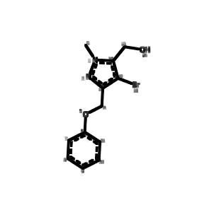 Cn1nc(COc2ccccc2)c(Br)c1CO